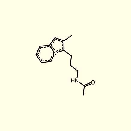 CC(=O)NCCCc1c(C)cc2ccccn12